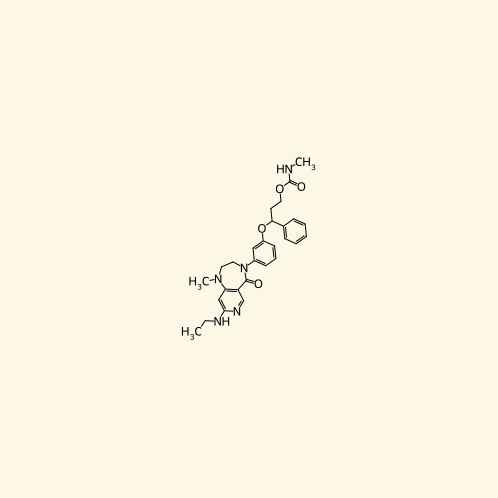 CCNc1cc2c(cn1)C(=O)N(c1cccc(OC(CCOC(=O)NC)c3ccccc3)c1)CCN2C